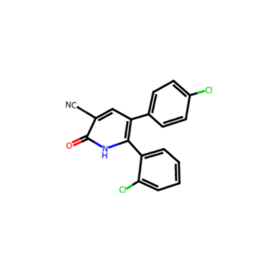 N#Cc1cc(-c2ccc(Cl)cc2)c(-c2ccccc2Cl)[nH]c1=O